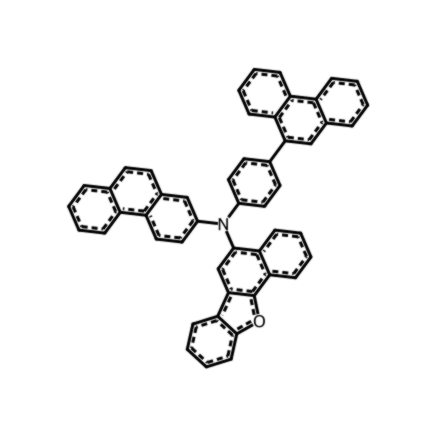 c1ccc2c(c1)ccc1cc(N(c3ccc(-c4cc5ccccc5c5ccccc45)cc3)c3cc4c5ccccc5oc4c4ccccc34)ccc12